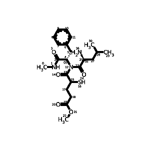 CNC(=O)[C@H](Cc1ccccc1)N(C(=O)C(S)CCC(=O)OC)C(=O)[C@@H](N)CC(C)C